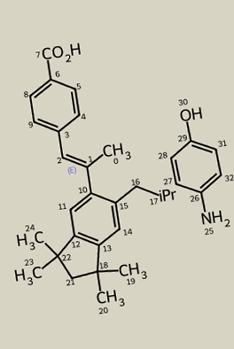 C/C(=C\c1ccc(C(=O)O)cc1)c1cc2c(cc1CC(C)C)C(C)(C)CC2(C)C.Nc1ccc(O)cc1